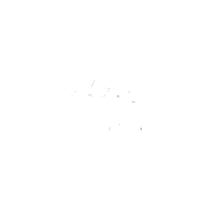 CC(C)CCC[C@@H](C)[C@H]1CC[C@H]2[C@@H]3CC=C4C[C@@H](O)CC[C@]4(C)[C@H]3CC[C@]12C.CCCCC(=O)O